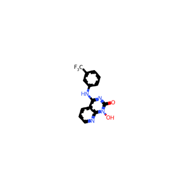 O=c1nc(Nc2cccc(C(F)(F)F)c2)c2cccnc2n1O